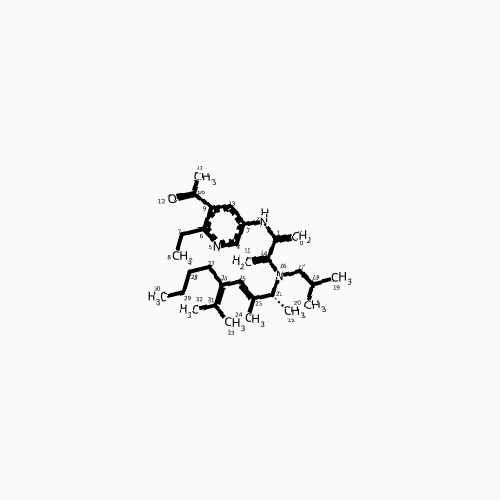 C=C(Nc1cnc(CC)c(C(C)=O)c1)C(=C)N(CC(C)C)[C@H](C)/C(C)=C/C(CCCC)=C(C)C